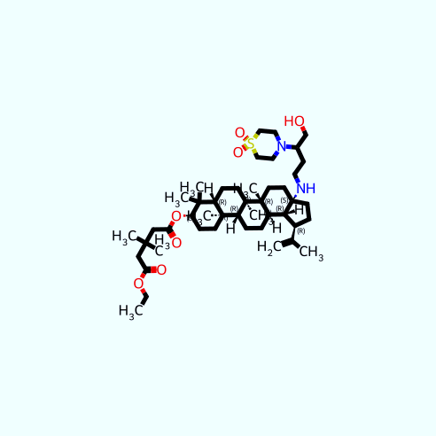 C=C(C)[C@@H]1CC[C@]2(NCCC(CO)N3CCS(=O)(=O)CC3)CC[C@]3(C)[C@H](CC[C@@H]4[C@@]5(C)CC[C@H](OC(=O)CC(C)(C)CC(=O)OCC)C(C)(C)[C@@H]5CC[C@]43C)[C@@H]12